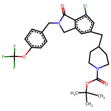 CC(C)(C)OC(=O)N1CCC(Cc2cc(Cl)c3c(c2)CN(Cc2ccc(OC(F)(F)F)cc2)C3=O)CC1